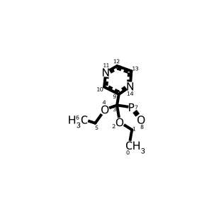 CCOC(OCC)(P=O)c1cn[c]cn1